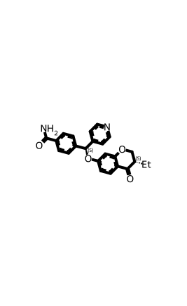 CC[C@H]1COc2cc(O[C@H](c3ccncc3)c3ccc(C(N)=O)cc3)ccc2C1=O